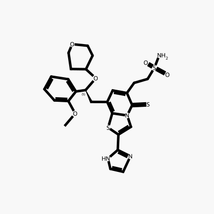 COc1ccccc1[C@H](Cc1cc(CCS(N)(=O)=O)c(=S)n2cc(-c3ncc[nH]3)sc12)OC1CCOCC1